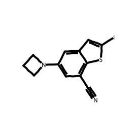 N#Cc1cc(N2CCC2)cc2cc(I)sc12